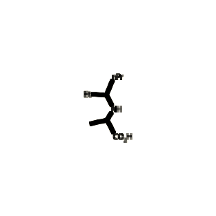 CCCC(CC)NC(C)C(=O)O